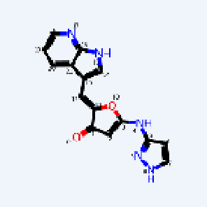 O=C1C=C(Nc2cc[nH]n2)OC1=Cc1c[nH]c2ncccc12